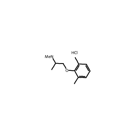 CNC(C)COc1c(C)cccc1C.Cl